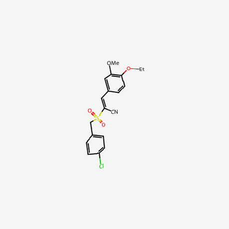 CCOc1ccc(/C=C(\C#N)S(=O)(=O)Cc2ccc(Cl)cc2)cc1OC